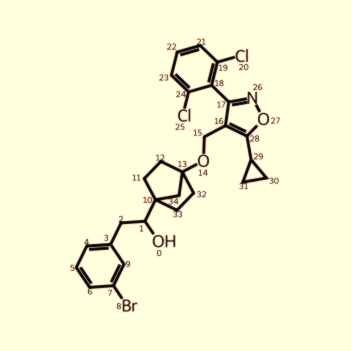 OC(Cc1cccc(Br)c1)C12CCC(OCc3c(-c4c(Cl)cccc4Cl)noc3C3CC3)(CC1)C2